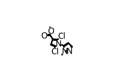 COC(=O)c1cc(Cl)n(-c2ccnn2C)c1Cl